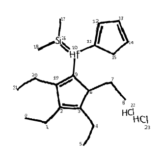 CCC1=C(CC)C(CC)[C]([Hf]([C]2=CC=CC2)=[Si](C)C)=C1CC.Cl.Cl